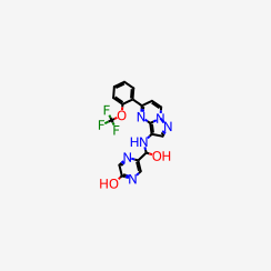 Oc1cnc(C(O)Nc2cnn3ccc(-c4ccccc4OC(F)(F)F)nc23)cn1